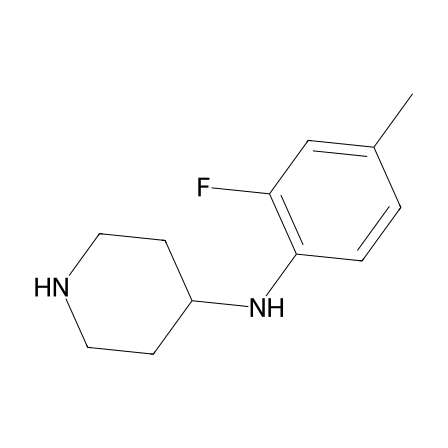 Cc1ccc(NC2CCNCC2)c(F)c1